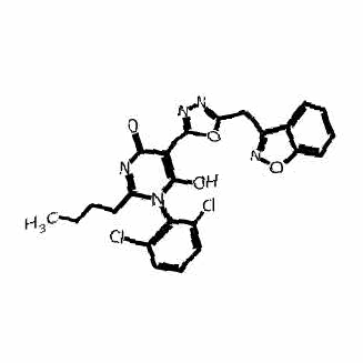 CCCCc1nc(=O)c(-c2nnc(Cc3noc4ccccc34)o2)c(O)n1-c1c(Cl)cccc1Cl